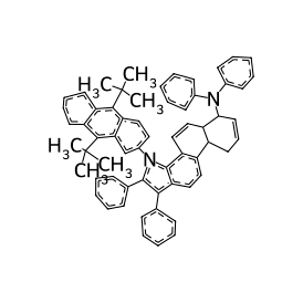 CC(C)(C)c1c2ccccc2c(C(C)(C)C)c2cc(-n3c(-c4ccccc4)c(-c4ccccc4)c4ccc5c(c43)C=CC3C5CC=CC3N(c3ccccc3)c3ccccc3)ccc12